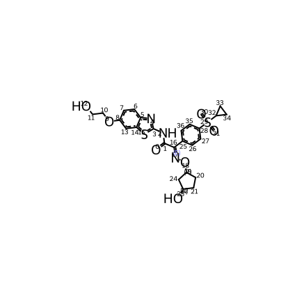 O=C(Nc1nc2ccc(OCCO)cc2s1)/C(=N/O[C@@H]1CC[C@@H](O)C1)c1ccc(S(=O)(=O)C2CC2)cc1